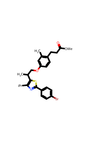 COC(=O)CCc1ccc(OCC(C)c2sc(-c3ccc(Br)cc3)nc2C(C)C)cc1C